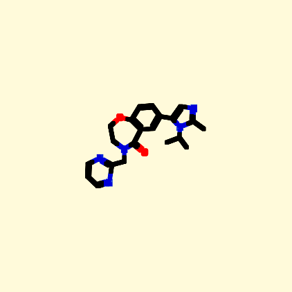 Cc1ncc(-c2ccc3c(c2)C(=O)N(Cc2ncccn2)CCO3)n1C(C)C